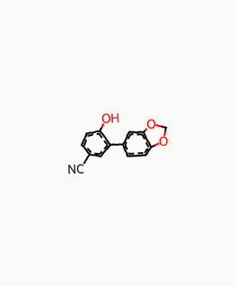 N#Cc1ccc(O)c(-c2ccc3c(c2)OCO3)c1